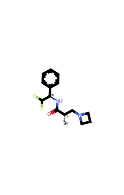 CC(C)[C@@H](CN1CCC1)C(=O)N[C@H](c1ccccc1)C(F)F